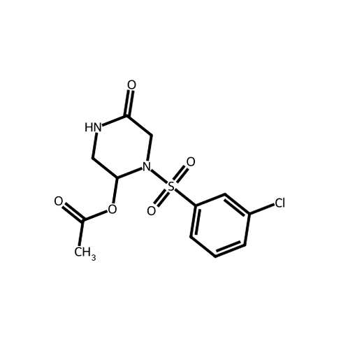 CC(=O)OC1CNC(=O)CN1S(=O)(=O)c1cccc(Cl)c1